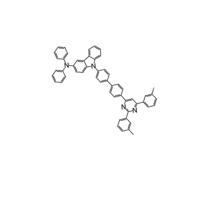 Cc1cccc(-c2cc(-c3ccc(-c4ccc(-n5c6ccccc6c6cc(N(c7ccccc7)c7ccccc7)ccc65)cc4)cc3)nc(-c3cccc(C)c3)n2)c1